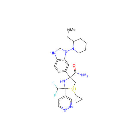 CNCC1CCCCN1N1CNc2ccc(C3(C(N)=O)C[SH](C4CC4)C(c4ccnnc4)(C(F)F)N3)cc21